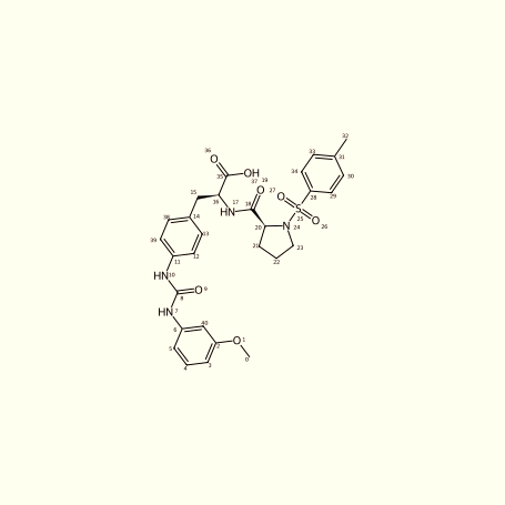 COc1cccc(NC(=O)Nc2ccc(C[C@H](NC(=O)[C@@H]3CCCN3S(=O)(=O)c3ccc(C)cc3)C(=O)O)cc2)c1